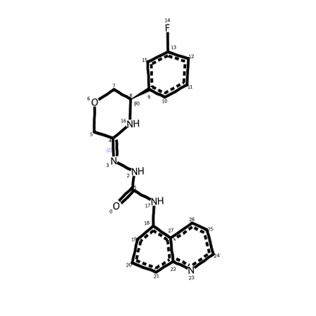 O=C(N/N=C1/COC[C@@H](c2cccc(F)c2)N1)Nc1cccc2ncccc12